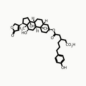 C[C@]12CC[C@H](OC(=O)CC(CCCc3ccc(O)cc3)CC(=O)O)C[C@H]1CC[C@@H]1[C@@H]2C[C@@H](O)[C@]2(C)[C@@H](C3=CC(=O)OC3)CC[C@]12O